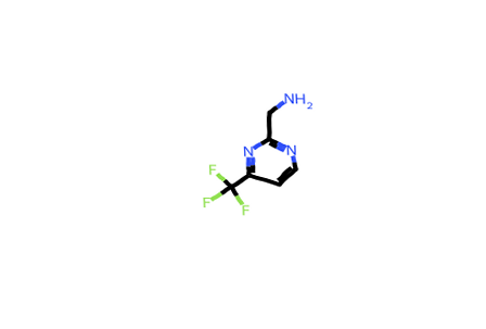 NCc1nccc(C(F)(F)F)n1